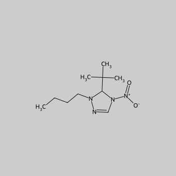 CCCCN1N=CN([N+](=O)[O-])C1C(C)(C)C